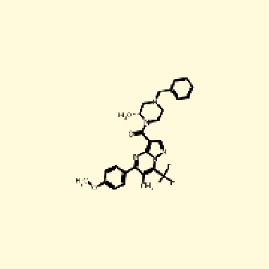 COc1ccc(-c2nc3c(C(=O)N4CCN(Cc5ccccc5)C[C@H]4C)cnn3c(C(F)(F)F)c2C)cc1